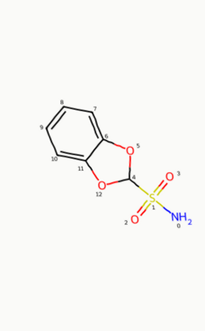 NS(=O)(=O)C1Oc2ccccc2O1